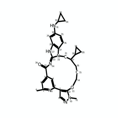 Cc1cc2cc(n1)-c1cnn(C)c1OCCCC(C1CC1)CN1/C(=N/C2=O)Nc2cc(NC3CC3)ccc21